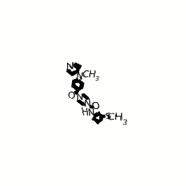 CSc1cccc(NC(=O)N2CCN(C(=O)c3ccc(N(C)c4ccncc4)cc3)CC2)c1